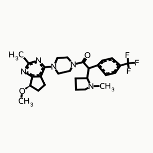 CO[C@@H]1CCc2c1nc(C)nc2N1CCN(C(=O)C(c2ccc(C(F)(F)F)cc2)C2CCCN2C)CC1